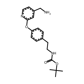 CC(C)(C)OC(=O)NCCc1ccc(Oc2cc(CN)ccn2)cc1